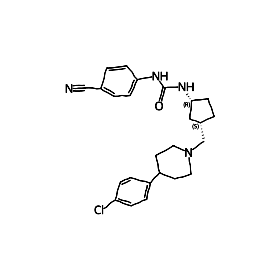 N#Cc1ccc(NC(=O)N[C@@H]2CC[C@H](CN3CCC(c4ccc(Cl)cc4)CC3)C2)cc1